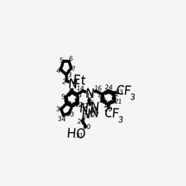 CCN(CC1CCCC1)c1cc2c(cc1CN(Cc1cc(C(F)(F)F)cc(C(F)(F)F)c1)c1nnn(CCO)n1)CCC2